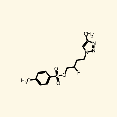 [CH2]c1cn(CCC(F)COS(=O)(=O)c2ccc(C)cc2)nn1